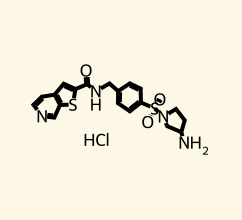 Cl.NC1CCN(S(=O)(=O)c2ccc(CNC(=O)c3cc4ccncc4s3)cc2)C1